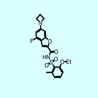 CCOc1cccc(C)c1S(=O)(=O)NC(=O)c1cc2c(F)cc(N3CCC3)cc2o1